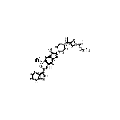 CC(C)Oc1cc2c(cc1NC(=O)c1cnn3cccnc13)CN([C@H]1CC[C@H](NC3CN(C(=O)OC(C)(C)C)C3)CC1)C2=O